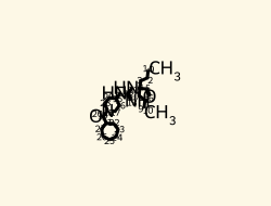 CCCCC(C=O)(CCCC)NC(=N)NC1CCN(C(=O)C2CCCCCC2)CC1